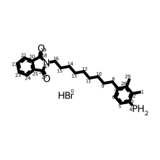 Br.Cc1c(P)ccc(CCCCCCCCCN2C(=O)c3ccccc3C2=O)c1C